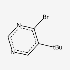 CC(C)(C)c1cncnc1Br